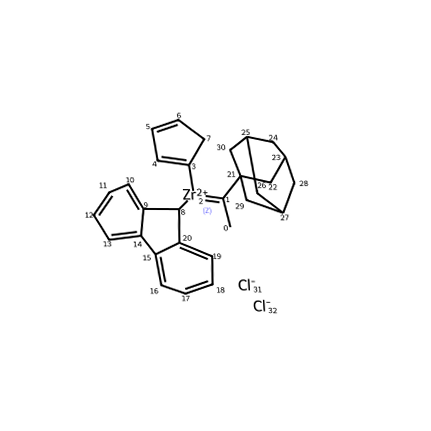 C/[C](=[Zr+2](/[C]1=CC=CC1)[CH]1c2ccccc2-c2ccccc21)C12CC3CC(CC(C3)C1)C2.[Cl-].[Cl-]